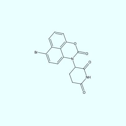 O=C1CCC(N2C(=O)Oc3cccc4c(Br)ccc2c34)C(=O)N1